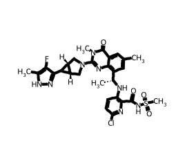 Cc1cc([C@@H](C)Nc2ccc(Cl)nc2C(=O)NS(C)(=O)=O)c2nc(N3C[C@@H]4C(c5n[nH]c(C)c5F)[C@@H]4C3)n(C)c(=O)c2c1